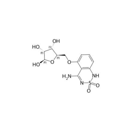 NC1=NS(=O)(=O)Nc2cccc(OC[C@H]3O[C@@H](O)[C@H](O)[C@@H]3O)c21